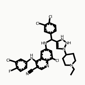 CCN1CCC(N2C=C(C(Nc3cc(Cl)c4ncc(C#N)c(Nc5ccc(F)c(Cl)c5)c4c3)c3ccc(Cl)c(Cl)c3)NN2)CC1